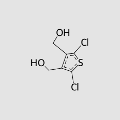 OCc1c(Cl)sc(Cl)c1CO